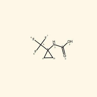 O=C(O)NC1(C(F)(F)F)CC1